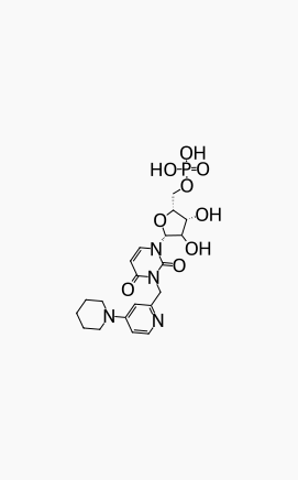 O=c1ccn([C@@H]2O[C@H](COP(=O)(O)O)[C@H](O)C2O)c(=O)n1Cc1cc(N2CCCCC2)ccn1